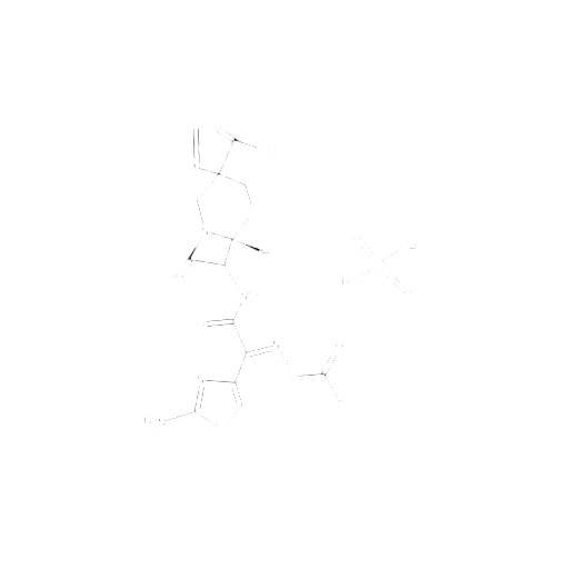 C=CC1(C(=O)O)CS[C@@H]2C(NC(=O)C(=NOC(C)=O)c3csc(N)n3)C(=O)N2C1.O=S(=O)(O)O